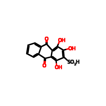 O=C1c2ccccc2C(=O)c2c(O)c(S(=O)(=O)O)c(O)c(O)c21